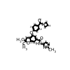 Cn1ncc(NC(=O)c2cc(Oc3ccc(C(=O)N4CCC4)cc3)c3c(c2)OC(C)(C)C3)n1